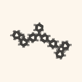 c1ccc(C(c2ccc(-c3ccc(-n4c5ccccc5c5ccccc54)cc3)cc2)c2ccc(-c3cccc4c3sc3ccccc34)cc2)cc1